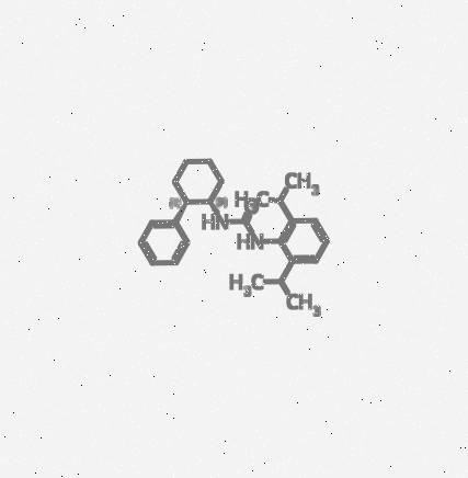 CC(C)c1cccc(C(C)C)c1NC(=O)N[C@@H]1CCCC[C@@H]1c1ccccc1